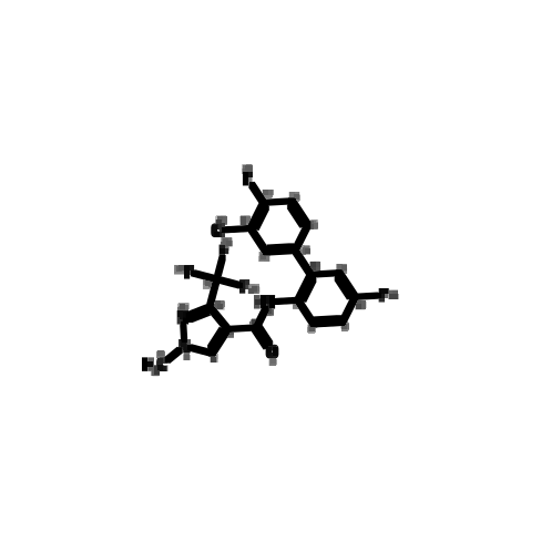 Cn1cc(C(=O)Nc2ccc(F)cc2-c2ccc(F)c(Cl)c2)c(C(F)(F)F)n1